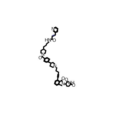 O=C(/C=C/c1cccnc1)NCCCCC1CCN(C(=O)c2ccc(C3CCN(CCCC#Cc4cccc5c4C(=O)N(C4CCC(=O)NC4=O)C5)CC3)cc2)CC1